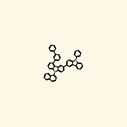 c1ccc(-c2cccc(-c3cccc4c3c3cc(-c5ccc6c(c5)c5ccccc5n6-c5ccccc5)ccc3n4-c3cccc4ccccc34)c2)cc1